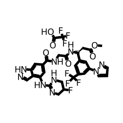 COC(=O)C[C@H](NC(=O)CNC(=O)c1cc(NC2=NCC(F)CN2)c2cn[nH]c2c1)c1cc(-n2cccn2)cc(C(F)(F)F)c1.O=C(O)C(F)(F)F